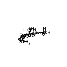 CC[C@@]1(O)C(=O)OCc2c1cc1n(c2=O)Cc2cc3c(CC[Si](C)(C)C)c(OC(=O)NCCCCCCC(=O)NO)ccc3nc2-1